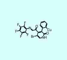 O=C(C=Nc1c(F)c(F)c(F)c(F)c1F)c1c(Br)c[nH]c(=O)c1-c1cccc[c]1[Cu]